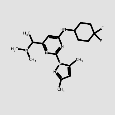 Cc1cc(C)n(-c2nc(NC3CCC(F)(F)CC3)cc(C(C)N(C)C)n2)n1